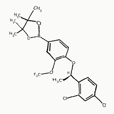 C[C@@H](Oc1ccc(B2OC(C)(C)C(C)(C)O2)cc1OC(F)(F)F)c1ccc(Cl)cc1Cl